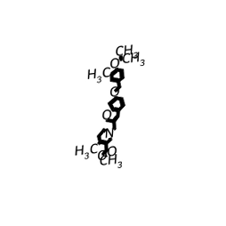 COC(=O)C1=C(C)CCN(CC2=Cc3ccc(OCc4ccc(OC(C)C)c(C)c4)cc3OC2)C1